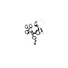 CCOC(=O)c1ccc(-c2nn(C(c3ccccc3)(c3ccccc3)c3ccccc3)cc2-c2ccc3ncnc(-c4ccc(SC)s4)c3c2)cc1